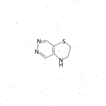 c1nncc2c1NCCS2